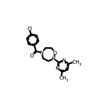 Cc1cc(C)nc(N2CCN(C(=O)c3ccc(Cl)cc3)CCO2)n1